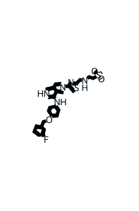 CS(=O)(=O)CCNCc1nc(N2C=CC3=CNC=C(Nc4ccc(OCc5cccc(F)c5)cc4)C3=C2)cs1